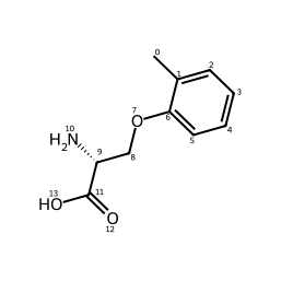 Cc1ccccc1OC[C@@H](N)C(=O)O